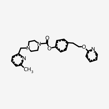 Cc1cccc(CN2CCN(C(=O)Oc3ccc(CCOc4ccccn4)cc3)CC2)n1